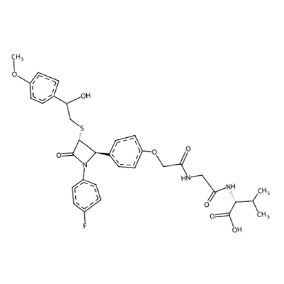 COc1ccc(C(O)CS[C@H]2C(=O)N(c3ccc(F)cc3)[C@@H]2c2ccc(OCC(=O)NCC(=O)N[C@@H](C(=O)O)C(C)C)cc2)cc1